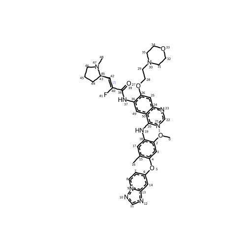 COc1cc(Oc2ccn3ncnc3c2)c(C)cc1Nc1ncnc2cc(OCCN3CCOCC3)c(NC(=O)/C(F)=C/[C@H]3CCCN3C)cc12